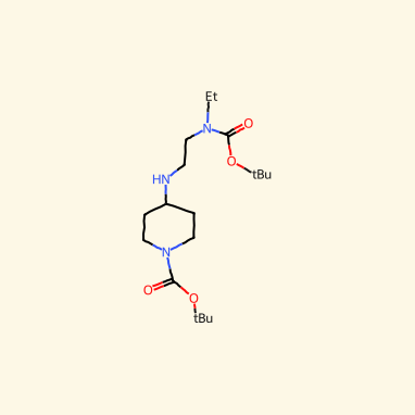 CCN(CCNC1CCN(C(=O)OC(C)(C)C)CC1)C(=O)OC(C)(C)C